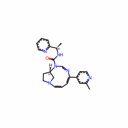 Cc1cc(C2=CC=CN3CC[C@@H](C3)N(C(=O)N[C@H](C)c3ccccn3)C=N2)ccn1